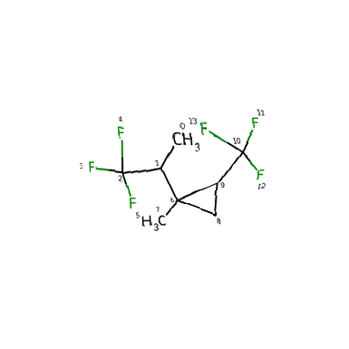 CC(C(F)(F)F)C1(C)CC1C(F)(F)F